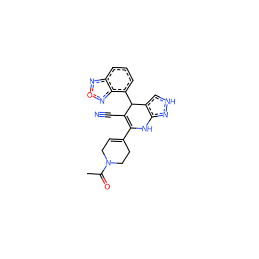 CC(=O)N1CC=C(C2=C(C#N)C(c3cccc4nonc34)c3c[nH]nc3N2)CC1